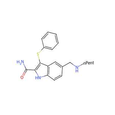 CCCCCNCc1ccc2[nH]c(C(N)=O)c(Sc3ccccc3)c2c1